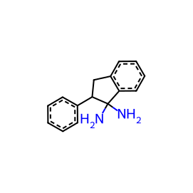 NC1(N)c2ccccc2CC1c1ccccc1